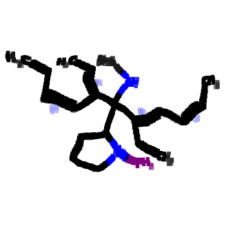 C=C/C=C\C(=C/C)C(NSC)(/C(C=C)=C/C=C\C)C1CCCN1P